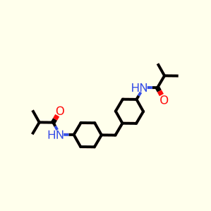 CC(C)C(=O)NC1CCC(CC2CCC(NC(=O)C(C)C)CC2)CC1